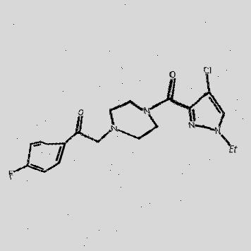 CCn1cc(Cl)c(C(=O)N2CCN(CC(=O)c3ccc(F)cc3)CC2)n1